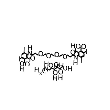 CNC[C@H](O)[C@@H](O)[C@H](O)[C@H](O)CO.O=C(CCOCCOCCOCCOCCC(=O)Nc1c(I)cc(I)c(C(=O)O)c1I)Nc1c(I)cc(I)c(C(=O)O)c1I